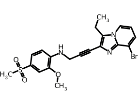 CCc1c(C#CCNc2ccc(S(C)(=O)=O)cc2OC)nc2c(Br)cccn12